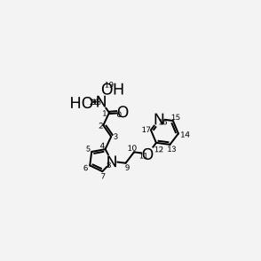 O=C(/C=C/c1cccn1CCOc1cccnc1)N(O)O